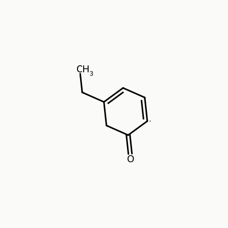 CCC1=CC=[C]C(=O)C1